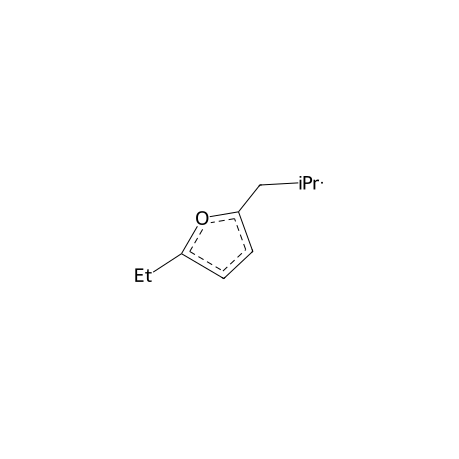 CCc1ccc(C[C](C)C)o1